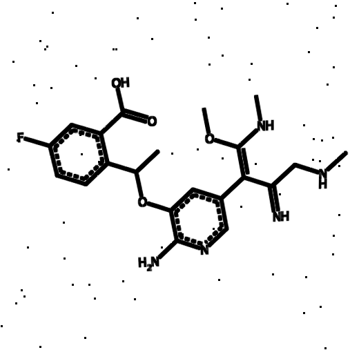 CNCC(=N)/C(=C(\NC)OC)c1cnc(N)c(OC(C)c2ccc(F)cc2C(=O)O)c1